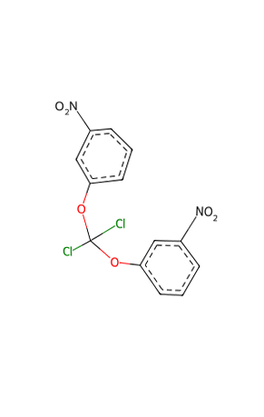 O=[N+]([O-])c1cccc(OC(Cl)(Cl)Oc2cccc([N+](=O)[O-])c2)c1